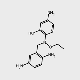 CCON(Cc1cc(N)ccc1N)c1ccc(N)cc1O